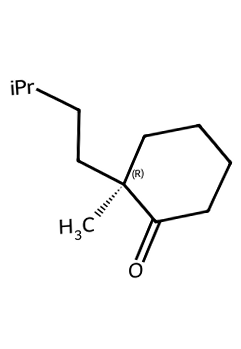 CC(C)CC[C@@]1(C)CCCCC1=O